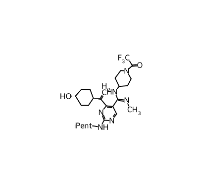 C=C(c1nc(NC(C)CCC)ncc1/C(=N\C)NC1CCN(C(=O)C(F)(F)F)CC1)[C@H]1CC[C@H](O)CC1